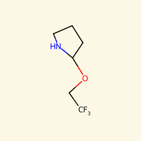 FC(F)(F)COC1CCCN1